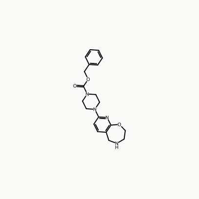 O=C(OCc1ccccc1)N1CCN(c2ccc3c(n2)OCCNC3)CC1